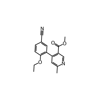 CCOc1ccc(C#N)cc1-c1cc(C)ncc1C(=O)OC